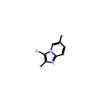 CC(=O)c1c(C)nc2ccc(C)cn12